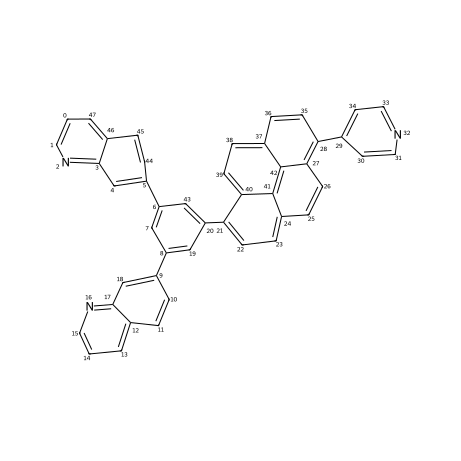 c1cnc2cc(-c3cc(-c4ccc5cccnc5c4)cc(-c4ccc5ccc6c(-c7ccncc7)ccc7ccc4c5c76)c3)ccc2c1